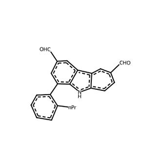 CCCc1ccccc1-c1cc(C=O)cc2c1[nH]c1ccc(C=O)cc12